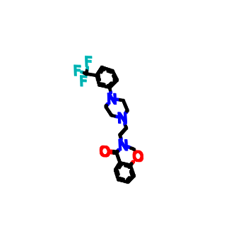 O=C1c2ccccc2OCN1CCN1CCN(c2cccc(C(F)(F)F)c2)CC1